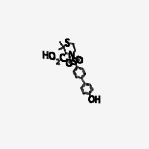 CC1(C)SCCN(S(=O)(=O)c2ccc(-c3ccc(O)cc3)cc2)C1C(=O)O